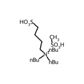 CCCC[N+](CCCC)(CCCC)CCCCS(=O)(=O)O.CS(=O)(=O)O